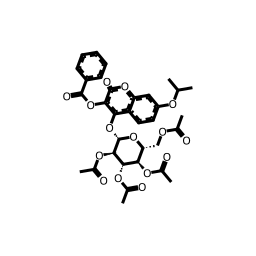 CC(=O)OC[C@H]1O[C@@H](Oc2c(OC(=O)c3ccccc3)c(=O)oc3cc(OC(C)C)ccc23)[C@H](OC(C)=O)[C@@H](OC(C)=O)[C@@H]1OC(C)=O